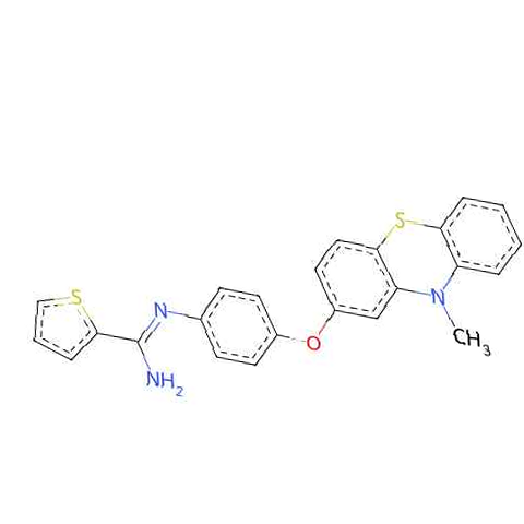 CN1c2ccccc2Sc2ccc(Oc3ccc(/N=C(\N)c4cccs4)cc3)cc21